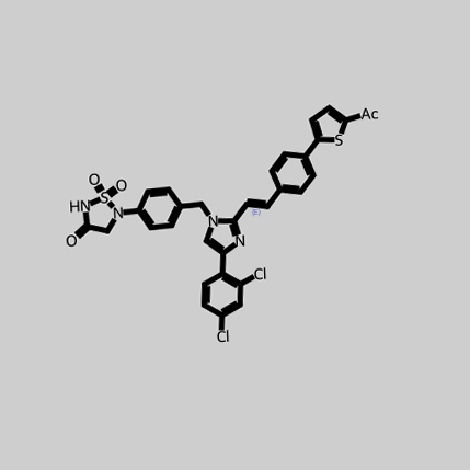 CC(=O)c1ccc(-c2ccc(/C=C/c3nc(-c4ccc(Cl)cc4Cl)cn3Cc3ccc(N4CC(=O)NS4(=O)=O)cc3)cc2)s1